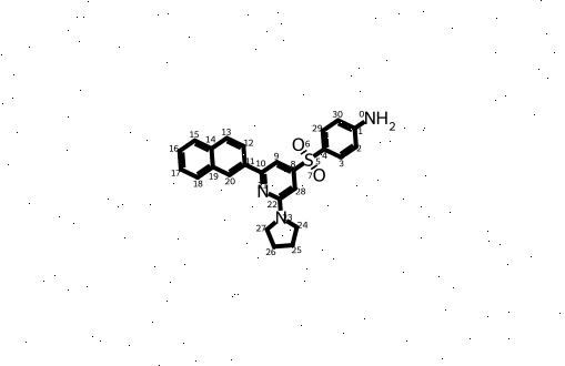 Nc1ccc(S(=O)(=O)c2cc(-c3ccc4ccccc4c3)nc(N3CCCC3)c2)cc1